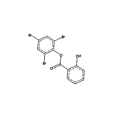 O=C(Oc1c(Br)cc(Br)cc1Br)c1ccccc1O